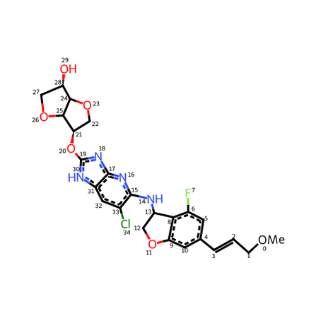 COC/C=C/c1cc(F)c2c(c1)OCC2Nc1nc2nc(O[C@@H]3COC4C3OC[C@H]4O)[nH]c2cc1Cl